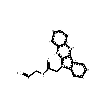 C=CCOC(=O)Cn1c2ccccc2c2nc3ccccc3nc21